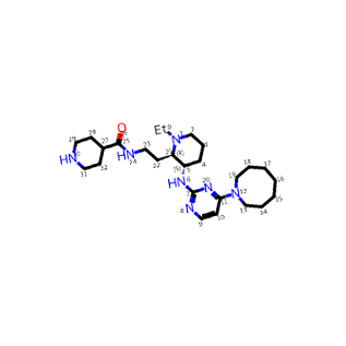 CCN1CCC[C@H](Nc2nccc(N3CCCCCCC3)n2)[C@H]1CCNC(=O)C1CCNCC1